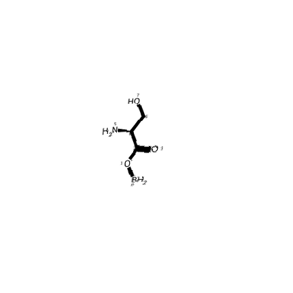 BOC(=O)[C@@H](N)CO